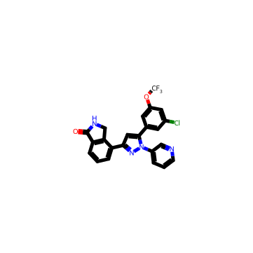 O=C1NCc2c1cccc2-c1cc(-c2cc(Cl)cc(OC(F)(F)F)c2)n(-c2cccnc2)n1